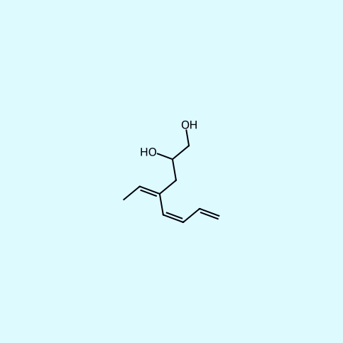 C=C/C=C\C(=C/C)CC(O)CO